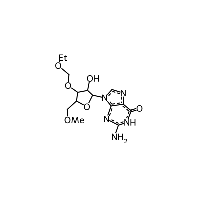 CCOCOC1C(COC)OC(n2cnc3c(=O)[nH]c(N)nc32)C1O